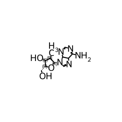 C[C@@H]1[C@H](O)[C@@H](CO)O[C@H]1N1C=NC2C(N)=NC=NC21